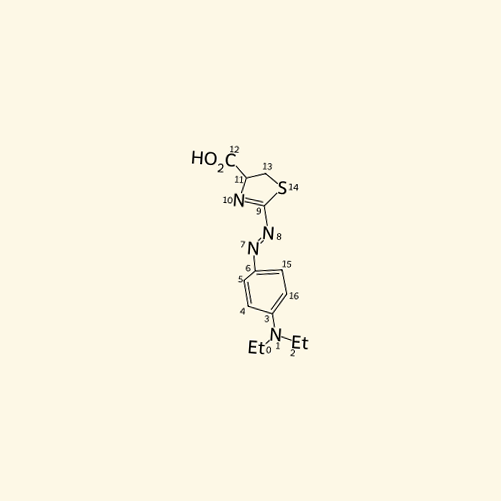 CCN(CC)c1ccc(/N=N/C2=NC(C(=O)O)CS2)cc1